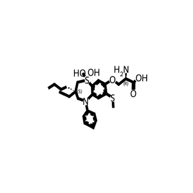 CCCC[C@@]1(CC)CN(c2ccccc2)c2cc(SC)c(OC[C@@H](N)C(=O)O)cc2S(O)(O)C1